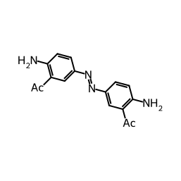 CC(=O)c1cc(N=Nc2ccc(N)c(C(C)=O)c2)ccc1N